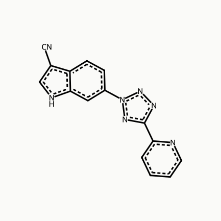 N#Cc1c[nH]c2cc(-n3nnc(-c4ccccn4)n3)ccc12